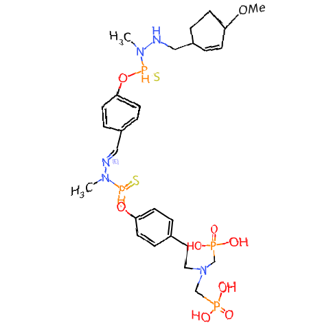 COC1C=CC(CNN(C)[PH](=S)Oc2ccc(/C=N/N(C)[PH](=S)Oc3ccc(CCN(CP(=O)(O)O)CP(=O)(O)O)cc3)cc2)CC1